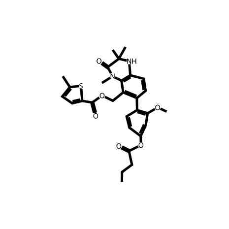 CCCC(=O)Oc1ccc(-c2ccc3c(c2COC(=O)c2ccc(C)s2)N(C)C(=O)C(C)(C)N3)c(OC)c1